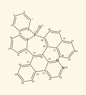 O=P1(c2ccccc2)c2ccccc2-c2c(c3nnccc3c3ccccc23)-c2c1ccc1ccccc21